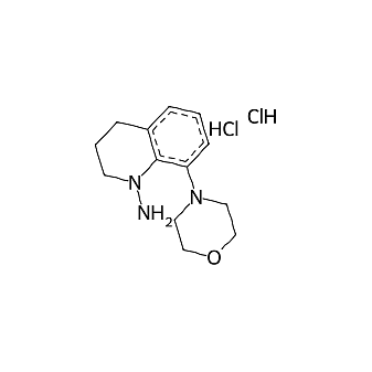 Cl.Cl.NN1CCCc2cccc(N3CCOCC3)c21